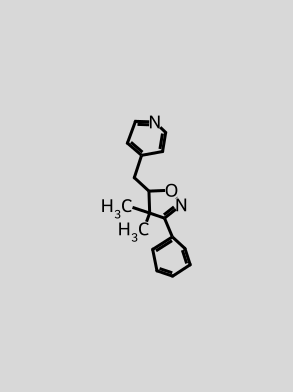 CC1(C)C(c2ccccc2)=NOC1Cc1ccncc1